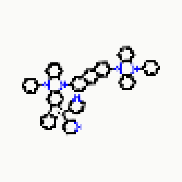 c1ccc(N2c3ccccc3N(c3ccc4cc5cc(N6c7ccccc7N(c7ccccc7)c7cc8c(cc76)[Si](c6cccnc6)(c6cccnc6)c6ccccc6-8)ccc5cc4c3)c3ccccc32)cc1